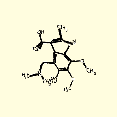 COc1c(O)c(CN(C)C)c2c(C(=O)O)c(C)[nH]c2c1OC